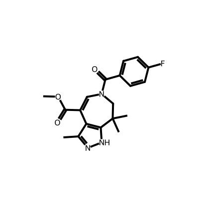 COC(=O)C1=CN(C(=O)c2ccc(F)cc2)CC(C)(C)c2[nH]nc(C)c21